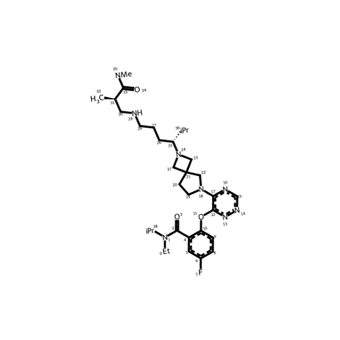 CCN(C(=O)c1cc(F)ccc1Oc1nncnc1N1CCC2(C1)CN([C@H](CCCNC[C@@H](C)C(=O)NC)C(C)C)C2)C(C)C